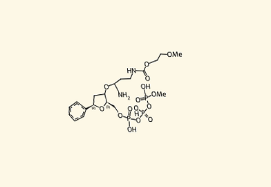 COCCOC(=O)NCCC(N)OC1C[C@H](c2ccccc2)O[C@@H]1COP(=O)(O)OP(=O)(O)OP(=O)(O)OC